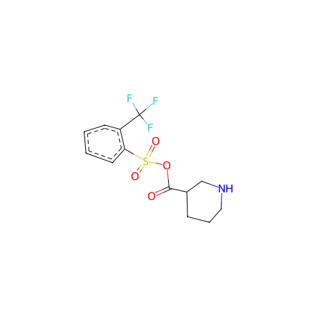 O=C(OS(=O)(=O)c1ccccc1C(F)(F)F)C1CCCNC1